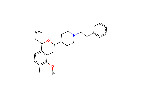 CNCC1OC(C2CCN(CCc3ccccc3)CC2)Cc2c1ccc(C)c2OC(C)C